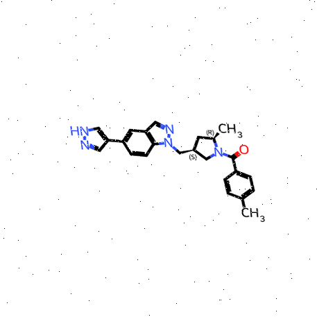 Cc1ccc(C(=O)N2C[C@@H](Cn3ncc4cc(-c5cn[nH]c5)ccc43)C[C@H]2C)cc1